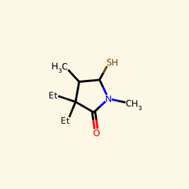 CCC1(CC)C(=O)N(C)C(S)C1C